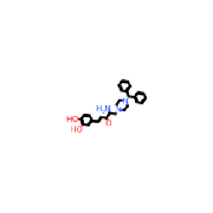 NC(CN1CCN(C(c2ccccc2)c2ccccc2)CC1)C(=O)C=Cc1ccc(O)c(O)c1